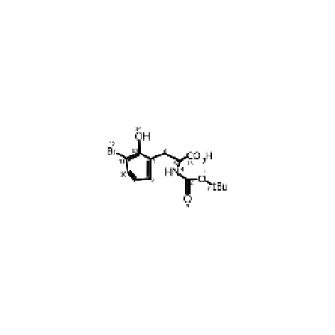 CC(C)(C)OC(=O)NC(Cc1cccc(Br)c1O)C(=O)O